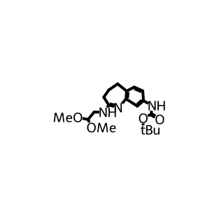 COC(CNC1=Nc2cc(NC(=O)OC(C)(C)C)ccc2CCC1)OC